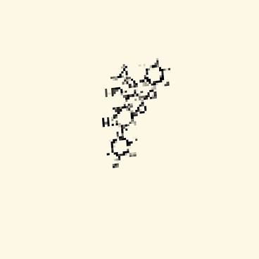 Cc1ccc(C(O)CC2OC(=O)C(C(c3ccccc3)C3CC3)=C(O)C2=O)cc1